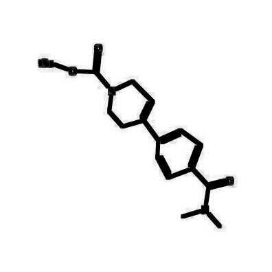 CN(C)C(=O)c1ccc(C2=CCN(C(=O)OC(C)(C)C)CC2)cc1